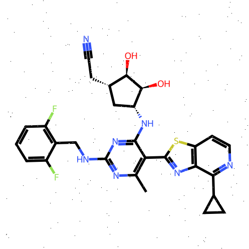 Cc1nc(NCc2c(F)cccc2F)nc(N[C@@H]2C[C@H](CC#N)[C@@H](O)[C@H]2O)c1-c1nc2c(C3CC3)nccc2s1